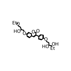 CCOCCC(O)COC1=CC2OC(=O)C(c3ccc(OCCC(O)C(O)CC)cc3)=CC2C=C1